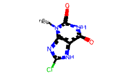 CCCCn1c(=O)[nH]c(=O)c2[nH]c(Cl)nc21